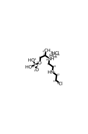 CC(COP(=O)(O)O)NCCNCCCl.Cl.Cl